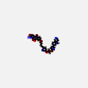 Cn1c2ccncc2c2ccc(-c3ccc(O[C@H]4C[C@H](Oc5ccc(C#CCCCOc6ccc7c(c6)C(=O)N(C6CCC(=O)NC6=O)C7=O)nc5)C4)nc3)cc21